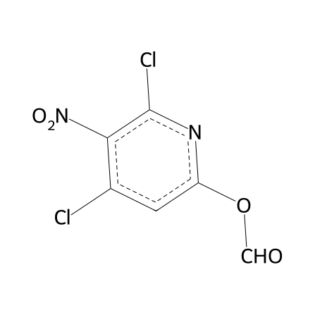 O=COc1cc(Cl)c([N+](=O)[O-])c(Cl)n1